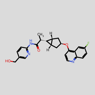 CC(C(=O)Nc1ccc(CO)cn1)[C@@H]1[C@@H]2C[C@@H](Oc3ccnc4ccc(F)cc34)C[C@@H]21